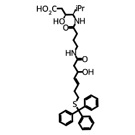 CC(C)[C@@H](NC(=O)CCCNC(=O)CC(O)C=CCCSC(c1ccccc1)(c1ccccc1)c1ccccc1)[C@@H](O)CC(=O)O